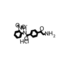 Cl.NCC(=O)c1ccc(C(=O)Nc2ccccc2[N+](=O)[O-])cc1